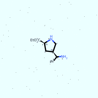 CCOC(=O)[C@@H]1C[C@H](C(N)C(C)C)CN1